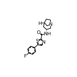 O=C(N[C@@H]1C[C@@H]2CCN(C2)C1)c1ncc(-c2ccc(F)cc2)s1